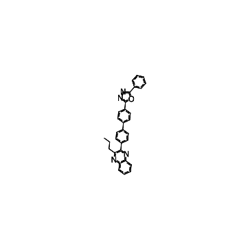 CCCc1nc2ccccc2nc1-c1ccc(-c2ccc(-c3nnc(-c4ccccc4)o3)cc2)cc1